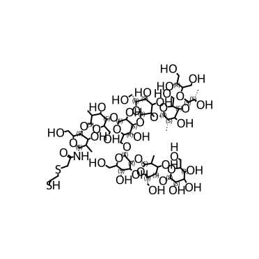 CC1C(O)[C@H](O[C@@H]2OC(CO[C@H]3OC(CO)[C@@H](O)C(O)[C@H]3O[C@@H]3O[C@@H](CO)[C@@H](O[C@@H]4OC(CO)[C@H](O)C(O)[C@@H]4O)C(O)C3C)[C@@H](O)[C@H](O[C@H]3O[C@H](CO)[C@@H](O)C(O)C3O[C@@H]3OC(CO)[C@@H](O[C@H](OC(CO)[C@H](O)CO)[C@H](C)O)C(O)[C@@H]3C)C2O)C(CO)O[C@H]1O[C@@H]1C(CO)O[C@@H](NC(=O)CSCCS)C(C)C1O